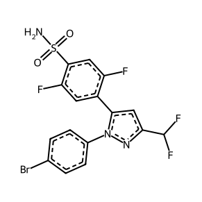 NS(=O)(=O)c1cc(F)c(-c2cc(C(F)F)nn2-c2ccc(Br)cc2)cc1F